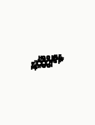 O=C(Nc1nnc(C(F)(F)F)s1)c1c(O)c2ccc(C(F)(F)F)cc2oc1=O